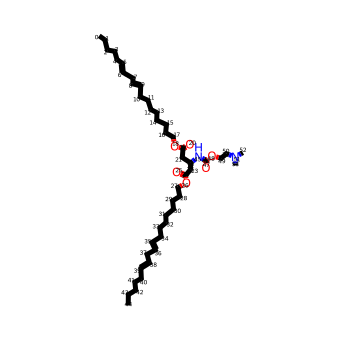 CCCCCC=CCC=CCCCCCCCCOC(=O)CC(CC(=O)OCCCCCCCCC=CCC=CCCCCC)NC(=O)OCCN(C)C